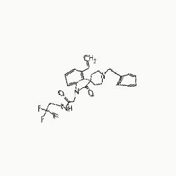 C=Cc1cccc2c1C1(CCN(Cc3ccccc3)CC1)C(=O)N2CC(=O)NCC(F)(F)F